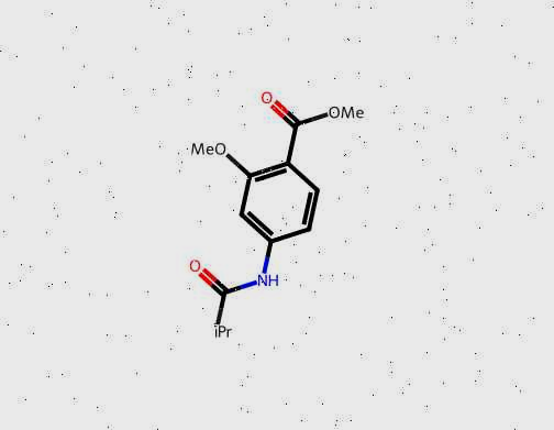 COC(=O)c1ccc(NC(=O)C(C)C)cc1OC